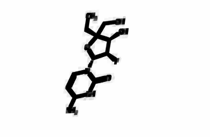 CC[C@]1(CO)O[C@@H](N2C=CC(N)NC2=O)[C@H](F)[C@@H]1O